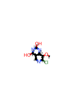 COc1c(Cl)ncc2c(O)nc(O)nc12